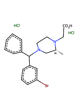 C[C@@H]1CN(C(c2ccccc2)c2cccc(Br)c2)CCN1CC(=O)O.Cl.Cl